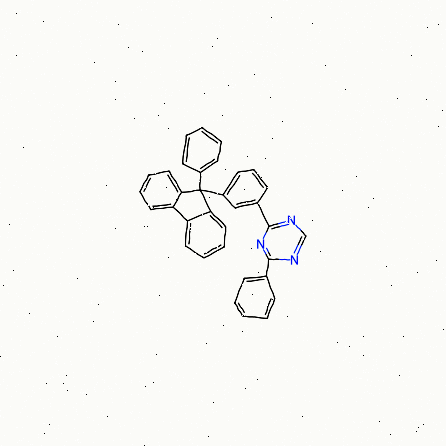 c1ccc(-c2ncnc(-c3cccc(C4(c5ccccc5)c5ccccc5-c5ccccc54)c3)n2)cc1